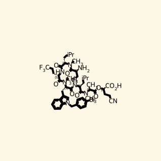 CC(C)C[C@H](NC(=O)[C@H](Cc1cn(Cc2ccc(Br)cc2)c2ccccc12)N(C)C(=O)[C@H](CCC(F)(F)F)NC(=O)[C@H](CC(C)C)N(C)C(=O)[C@@H](N)CC(F)(F)F)C(=O)N(C)[C@@H](C)C(=O)O[C@H](CCC#N)C(=O)O